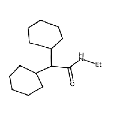 CCNC(=O)C(C1CCCCC1)C1CCCCC1